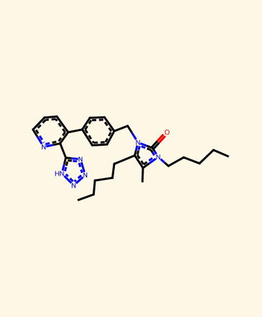 CCCCCc1c(C)n(CCCCC)c(=O)n1Cc1ccc(-c2cccnc2-c2nnn[nH]2)cc1